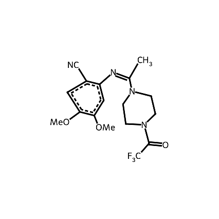 COc1cc(C#N)c(N=C(C)N2CCN(C(=O)C(F)(F)F)CC2)cc1OC